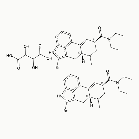 CCN(CC)C(=O)[C@@H]1C=C2c3cccc4[nH]c(Br)c(c34)C[C@H]2N(C)C1.CCN(CC)C(=O)[C@@H]1C=C2c3cccc4[nH]c(Br)c(c34)C[C@H]2N(C)C1.O=C(O)C(O)C(O)C(=O)O